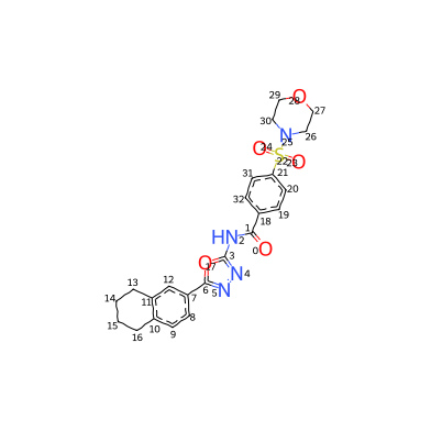 O=C(Nc1nnc(-c2ccc3c(c2)CCCC3)o1)c1ccc(S(=O)(=O)N2CCOCC2)cc1